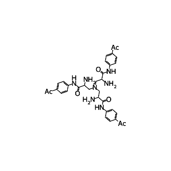 CC(=O)c1ccc(NC(=O)C(N)CN(CC(N)C(=O)Nc2ccc(C(C)=O)cc2)CC(N)C(=O)Nc2ccc(C(C)=O)cc2)cc1